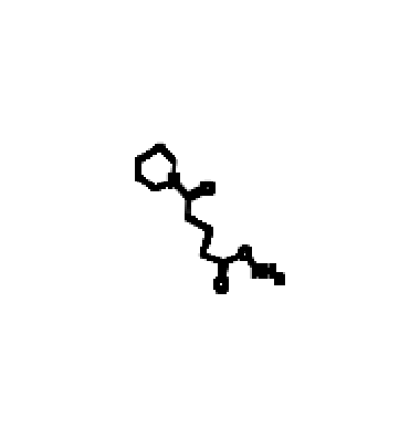 NOC(=O)CCCC(=O)N1CCCCC1